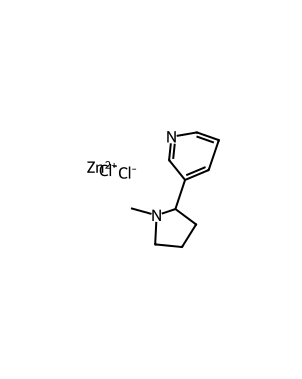 CN1CCCC1c1cccnc1.[Cl-].[Cl-].[Zn+2]